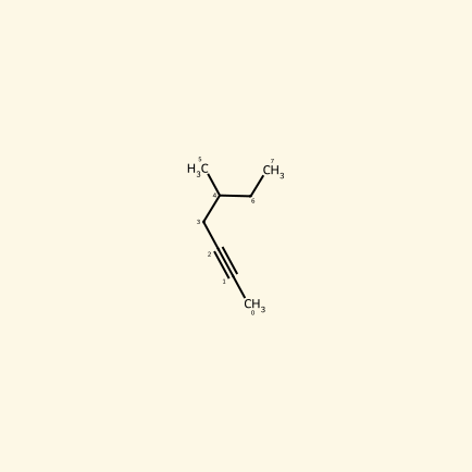 CC#CCC(C)CC